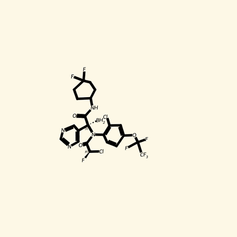 B[C@@](C(=O)NC1CCC(F)(F)CC1)(c1cncnc1)N(C(=O)[C@H](F)Cl)c1ccc(OC(F)(F)C(F)(F)F)cc1Cl